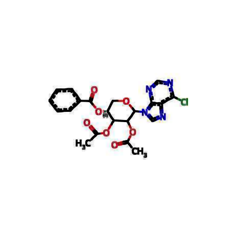 CC(=O)OC1C(OC(C)=O)[C@H](OC(=O)c2ccccc2)COC1n1cnc2c(Cl)ncnc21